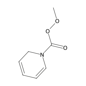 COOC(=O)N1C=CC=CC1